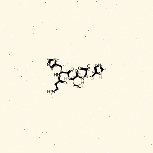 NCCC(=O)N[C@@H](Cc1cnc[nH]1)C(=O)N[C@@H](CO)C(=O)N[C@@H](Cc1cnc[nH]1)C(=O)O